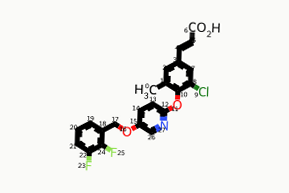 Cc1cc(/C=C/C(=O)O)cc(Cl)c1Oc1ccc(OCc2cccc(F)c2F)cn1